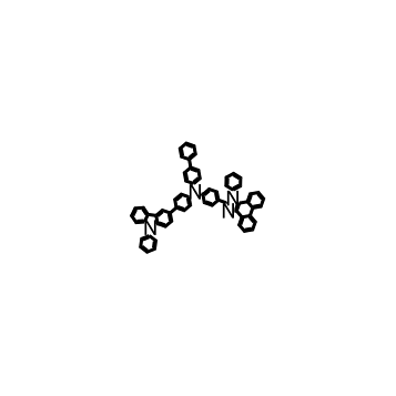 c1ccc(-c2ccc(N(c3ccc(-c4ccc5c(c4)c4ccccc4n5-c4ccccc4)cc3)c3ccc(-c4nc5c6ccccc6c6ccccc6c5n4-c4ccccc4)cc3)cc2)cc1